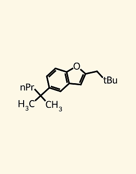 CCCC(C)(C)c1ccc2oc(CC(C)(C)C)cc2c1